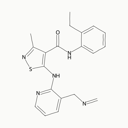 C=NCc1cccnc1Nc1snc(C)c1C(=O)Nc1ccccc1CC